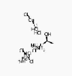 CC(O)C(=O)O.Cl.Cl.Cl.Cl.N.[Cl][Cu][Cl].[Cl][Pd][Cl].[Pd].[Sm]